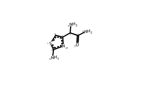 NC(=O)C(N)c1csc(N)n1